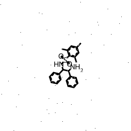 Cc1cc(C)c(S(=O)(=O)NC(c2ccccc2)C(N)c2ccccc2)c(C)c1